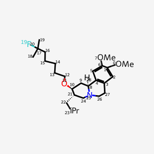 COc1cc2c(cc1OC)[C@@H]1C[C@H](OCCCCCC(C)(C)[19F])[C@@H](CC(C)C)CN1CC2